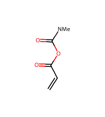 C=CC(=O)OC(=O)NC